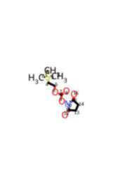 CS(C)(C)CCOC(=O)ON1C(=O)CCC1=O